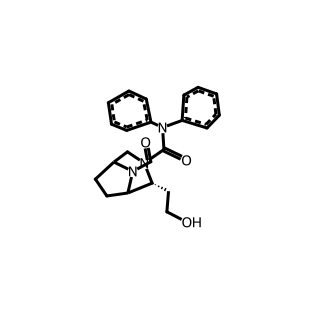 O=CN1C2CCC1[C@@H](CCO)N(C(=O)N(c1ccccc1)c1ccccc1)C2